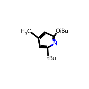 Cc1cc(OCC(C)C)nc(C(C)(C)C)c1